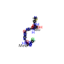 COc1cc2ncnc(Nc3ccc(F)c(Cl)c3)c2cc1NC(=O)/C=C/CN1CCC(N2CCN(C(=O)CCN3CCN(CCC(=O)NC(C(=O)N4C[C@H](O)C[C@H]4C(=O)NCc4ccc(-c5scnc5C)cc4)C(C)(C)C)CC3)CC2)CC1